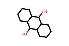 OC1C2CCCCC2C(O)C2CCCCC12